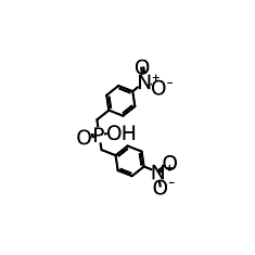 O=[N+]([O-])c1ccc(CP(=O)(O)Cc2ccc([N+](=O)[O-])cc2)cc1